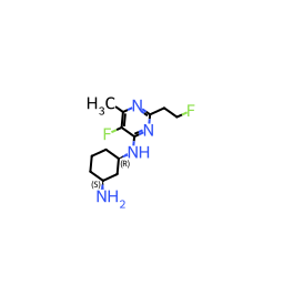 Cc1nc(CCF)nc(N[C@@H]2CCC[C@H](N)C2)c1F